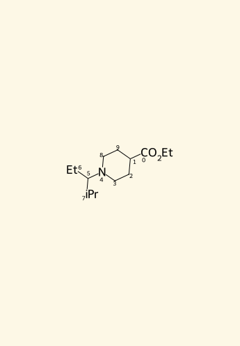 CCOC(=O)C1CCN(C(CC)C(C)C)CC1